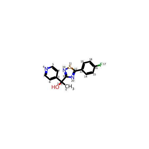 CC(O)(c1ccncc1)c1nsc(-c2ccc(F)cc2)n1